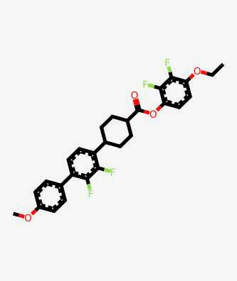 CCOc1ccc(OC(=O)C2CCC(c3ccc(-c4ccc(OC)cc4)c(F)c3F)CC2)c(F)c1F